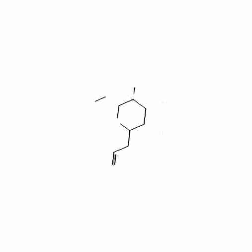 C=CCC1O[C@H](CO)[C@@H](O)[C@H](O)[C@@H]1O